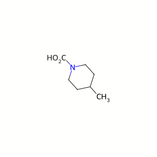 CC1CCN(C(=O)O)CC1